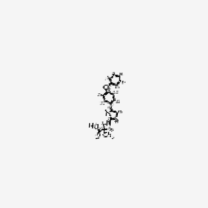 CC1(C(=O)O)CN(c2nc(-c3ccc(Oc4ccccc4)cc3)cs2)C1